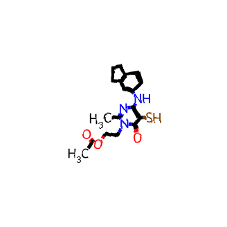 CC(=O)OCCn1c(C)nc(Nc2ccc3c(c2)CCC3)c(S)c1=O